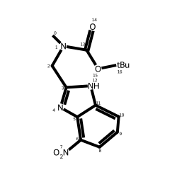 CN(Cc1nc2c([N+](=O)[O-])cccc2[nH]1)C(=O)OC(C)(C)C